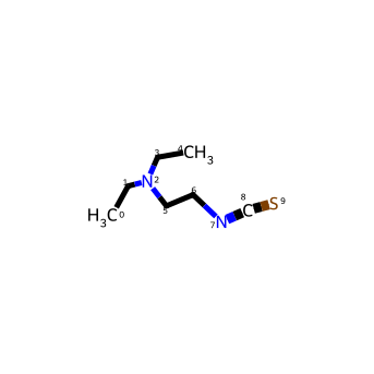 CCN(CC)CCN=C=S